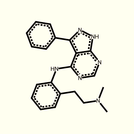 CN(C)CCc1ccccc1Nc1ncnc2[nH]nc(-c3ccccc3)c12